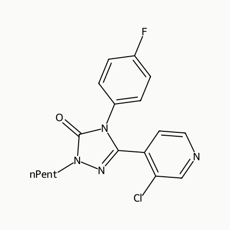 CCCCCn1nc(-c2ccncc2Cl)n(-c2ccc(F)cc2)c1=O